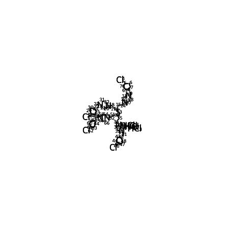 Cl.Cl.Cl.Cl.Clc1ccc(CN2CCN(CCC(CCN3CCN(Cc4ccc(Cl)cc4)CC3)SC(CCN3CCN(Cc4ccc(Cl)cc4)CC3)CCN3CCN(Cc4ccc(Cl)cc4)CC3)CC2)cc1